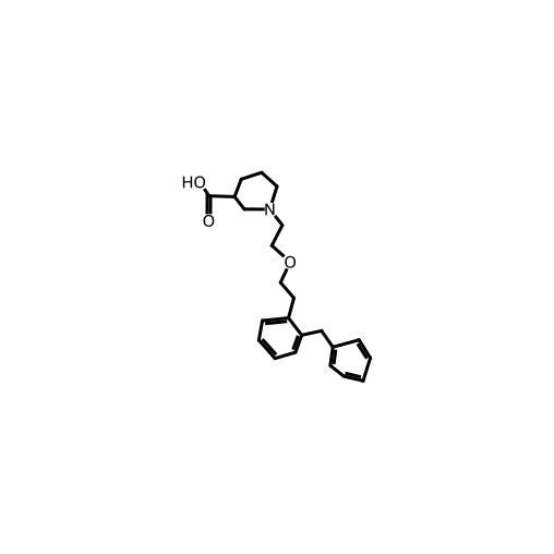 O=C(O)C1CCCN(CCOCCc2ccccc2Cc2ccccc2)C1